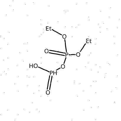 CCOP(=O)(OCC)O[PH](=O)O